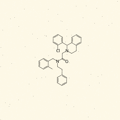 Cc1ccccc1CN(CCc1ccccc1)C(=O)CN1CCc2ccccc2C1c1ccccc1Cl